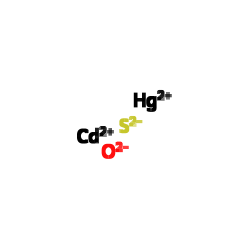 [Cd+2].[Hg+2].[O-2].[S-2]